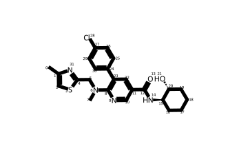 Cc1csc(CN(C)c2ncc(C(=O)N[C@@H]3CCCC[C@H]3O)cc2-c2ccc(Cl)cc2)n1